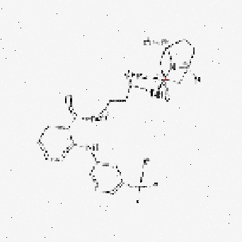 O=C(CCNC(=O)c1ccccc1Nc1cccc(C(F)(F)F)c1)N[C@H]1C[C@H]2CC[C@@H](C1)N2C(=O)O